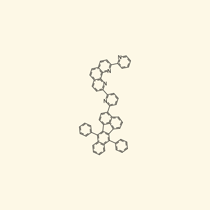 c1ccc(-c2c3c(c(-c4ccccc4)c4ccccc24)-c2ccc(-c4cccc(-c5ccc6ccc7ccc(-c8ccccn8)nc7c6n5)n4)c4cccc-3c24)cc1